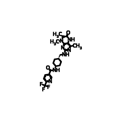 Cc1nc(NC[C@H]2CC[C@H](NC(=O)c3ccc(C(F)(F)F)nc3)CC2)nc2c1NC(=O)[C@H](C)N2C